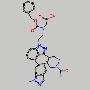 CC(=O)N1CCC(c2nn(CCN(CC(=O)O)C(=O)OCc3ccccc3)c3cccc(-c4cc5c(cnn5C)cc4F)c23)CC1